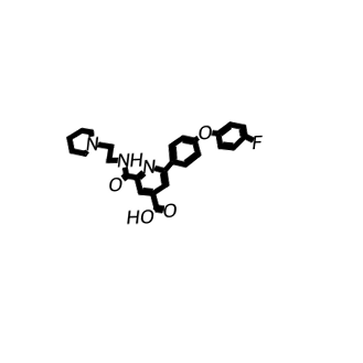 O=C(O)c1cc(C(=O)NCCN2CCCCC2)nc(-c2ccc(Oc3ccc(F)cc3)cc2)c1